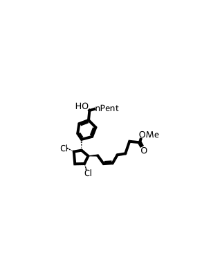 CCCCCC(O)c1ccc([C@@H]2[C@@H](C/C=C\CCCC(=O)OC)[C@H](Cl)C[C@@H]2Cl)cc1